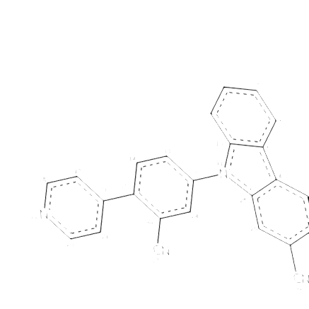 N#Cc1ccc2c3ccccc3n(-c3ccc(-c4ccncc4)c(C#N)c3)c2c1